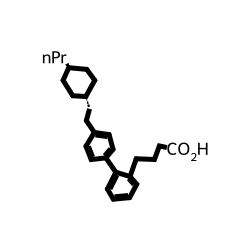 CCC[C@H]1CC[C@H](CCc2ccc(-c3ccccc3CCCC(=O)O)cc2)CC1